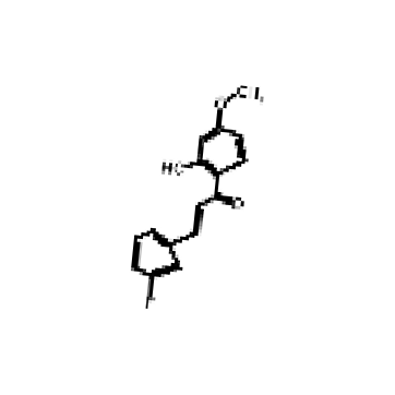 COc1ccc(C(=O)/C=C/c2cccc(F)c2)c(O)c1